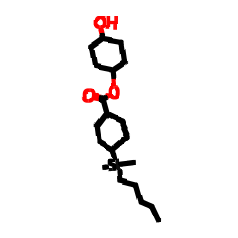 CCCCC[Si](C)(C)C1CCC(C(=O)OC2CCC(O)CC2)CC1